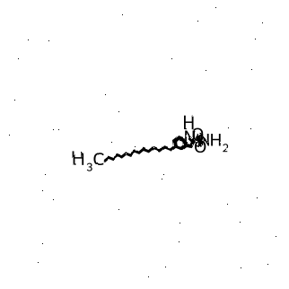 CCCCCCCCCCCCCCCCc1ccc2[nH]c(S(N)(=O)=O)cc2c1